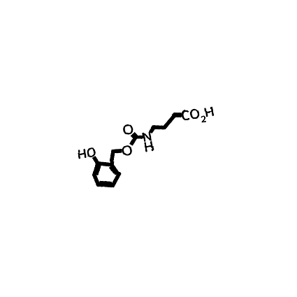 O=C(O)CCCNC(=O)OCc1ccccc1O